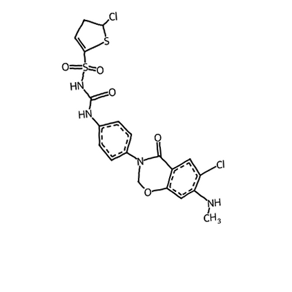 CNc1cc2c(cc1Cl)C(=O)N(c1ccc(NC(=O)NS(=O)(=O)C3=CCC(Cl)S3)cc1)CO2